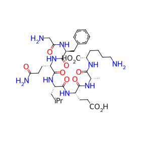 CC(C)C[C@H](NC(=O)[C@H](CCC(N)=O)NC(=O)[C@H](Cc1ccccc1)NC(=O)CN)C(=O)N[C@@H](CCC(=O)O)C(=O)N[C@@H](C)C(=O)N[C@@H](CCCCN)C(=O)O